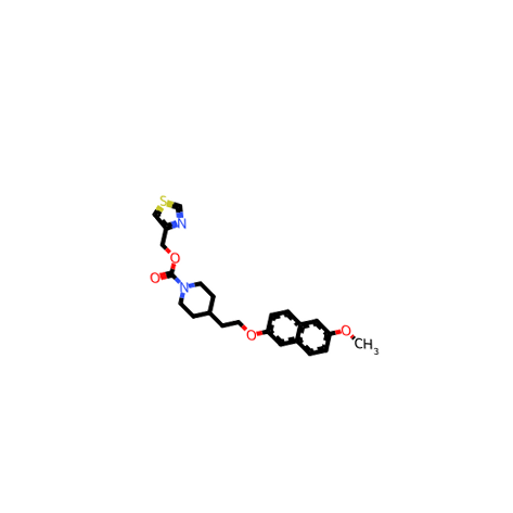 COc1ccc2cc(OCCC3CCN(C(=O)OCc4cscn4)CC3)ccc2c1